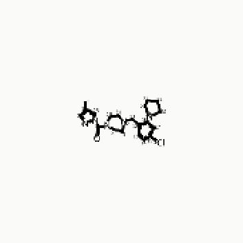 Cc1cnn(C(=O)N2CCN(Cc3ccc(Cl)cc3N3CCCC3)CC2)c1